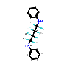 FC(F)(Nc1ccccc1)C(F)(F)C(F)(F)C(F)(F)Nc1ccccc1